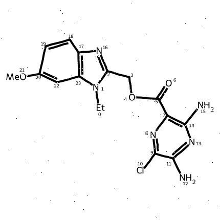 CCn1c(COC(=O)c2nc(Cl)c(N)nc2N)nc2ccc(OC)cc21